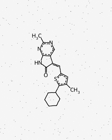 Cc1ncc2c(n1)NC(=O)C2=Cc1cc(C)c(C2CCCCC2)s1